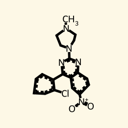 CN1CCN(c2nc(-c3ccccc3Cl)c3cc([N+](=O)[O-])ccc3n2)CC1